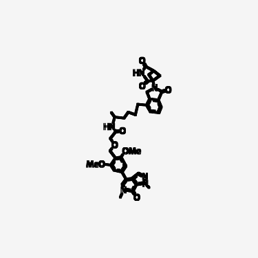 COc1cc(-c2cn(C)c(=O)c3c2cnn3C)cc(OC)c1COCC(=O)NC(C)CCCCc1cccc2c1CN(C13CC(C1)C(=O)NC3=O)C2=O